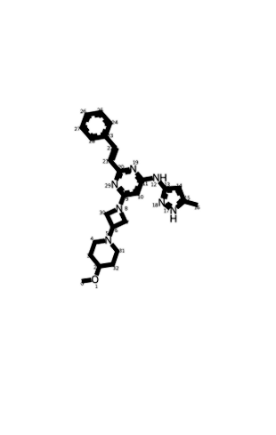 COC1CCN(C2CN(c3cc(Nc4cc(C)[nH]n4)nc(C=Cc4ccccc4)n3)C2)CC1